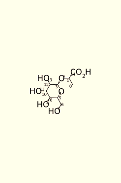 CC(O[C@H]1OC(CO)[C@@H](O)[C@H](O)C1O)C(=O)O